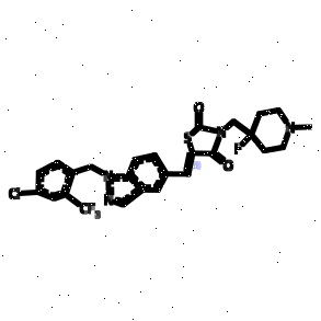 CN1CCC(F)(CN2C(=O)S/C(=C\c3ccc4c(cnn4Cc4ccc(Cl)cc4C(F)(F)F)c3)C2=O)CC1